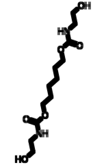 O=C(NCCO)OCCCCCCOC(=O)NCCO